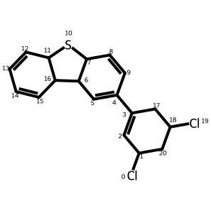 ClC1C=C(C2=CC3C(C=C2)SC2C=CC=CC23)CC(Cl)C1